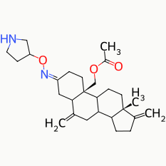 C=C1CC2C(CC[C@]3(C)C(=C)CCC23)[C@@]2(COC(C)=O)CCC(=NOC3CCNC3)CC12